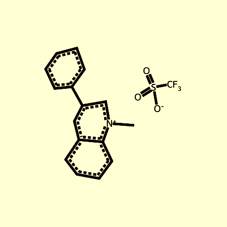 C[n+]1cc(-c2ccccc2)cc2ccccc21.O=S(=O)([O-])C(F)(F)F